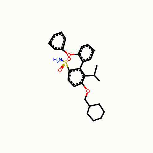 CC(C)c1c(OCC2CCCCC2)ccc(S(N)(=O)=O)c1-c1ccccc1Oc1ccccc1